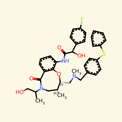 CC(CO)N1C[C@@H](C)[C@@H](CN(C)Cc2ccc(Sc3ccccc3)cc2)Oc2c(NC(=O)C(O)c3ccc(F)cc3)cccc2C1=O